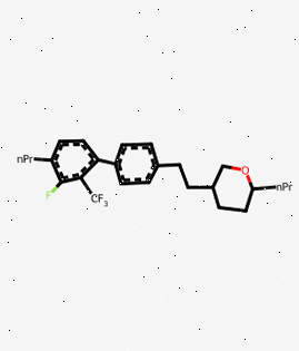 CCCc1ccc(-c2ccc(CCC3CCC(CCC)OC3)cc2)c(C(F)(F)F)c1F